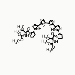 COC(=O)N[C@@H](C(=O)N1CCC[C@H]1c1ncc(-c2ncc(-c3cnc(-c4cnc([C@@H]5CCCN5C(=O)[C@H](NC(=O)OC)C(C)C)[nH]4)s3)s2)[nH]1)C(C)C